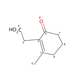 CC1=C(CC(=O)O)C(=O)CCC1